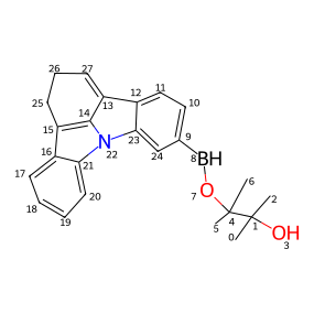 CC(C)(O)C(C)(C)OBc1ccc2c3c4c(c5ccccc5n4c2c1)CCC=3